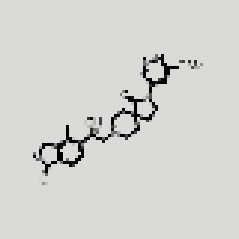 COc1cc(N2CCC3(CCN(C[C@H](O)c4ccc5c(c4C)COC5=O)CC3)C2=O)cnn1